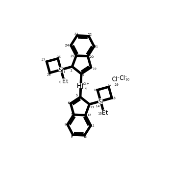 CC[Si]1(C2[C]([Hf+2][C]3=Cc4ccccc4C3[Si]3(CC)CCC3)=Cc3ccccc32)CCC1.[Cl-].[Cl-]